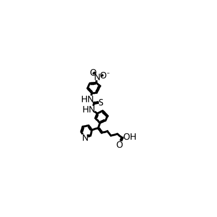 O=C(O)CCCC=C(c1cccnc1)c1cccc(NC(=S)Nc2ccc([N+](=O)[O-])cc2)c1